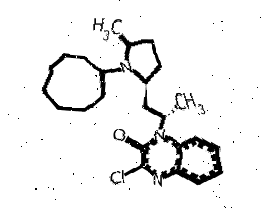 CC1CC[C@@H](C[C@H](C)n2c(=O)c(Cl)nc3ccccc32)N1C1CCCCCCC1